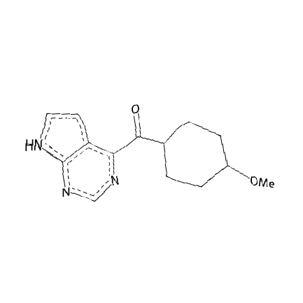 COC1CCC(C(=O)c2ncnc3[nH]ccc23)CC1